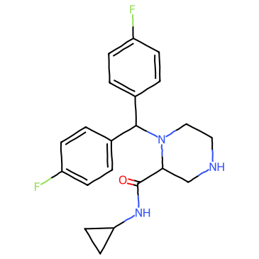 O=C(NC1CC1)C1CNCCN1C(c1ccc(F)cc1)c1ccc(F)cc1